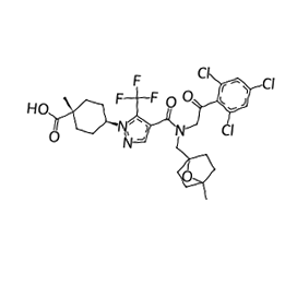 CC12CCC(CN(CC(=O)c3c(Cl)cc(Cl)cc3Cl)C(=O)c3cnn([C@H]4CC[C@](C)(C(=O)O)CC4)c3C(F)(F)F)(CC1)O2